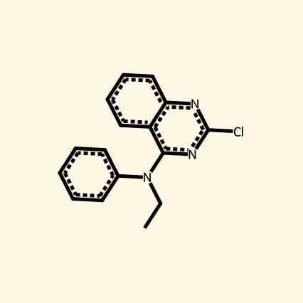 CCN(c1ccccc1)c1nc(Cl)nc2ccccc12